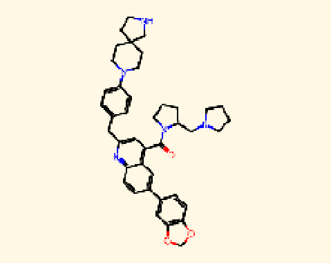 O=C(c1cc(Cc2ccc(N3CCC4(CCNC4)CC3)cc2)nc2ccc(-c3ccc4c(c3)OCO4)cc12)N1CCCC1CN1CCCC1